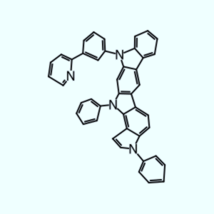 c1ccc(-n2ccc3c2ccc2c4cc5c6ccccc6n(-c6cccc(-c7ccccn7)c6)c5cc4n(-c4ccccc4)c23)cc1